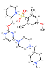 COc1cc(C)c(S(=O)(=O)N2CCCCC2COc2nccc(N3CCN(CC4CCN(C)CC4)CC3)n2)c(C)c1